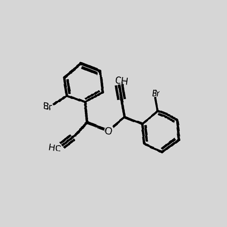 C#CC(OC(C#C)c1ccccc1Br)c1ccccc1Br